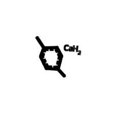 Cc1ccc(C)cc1.[CaH2]